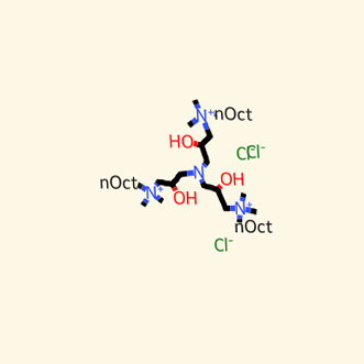 CCCCCCCC[N+](C)(C)CC(O)CN(CC(O)C[N+](C)(C)CCCCCCCC)CC(O)C[N+](C)(C)CCCCCCCC.[Cl-].[Cl-].[Cl-]